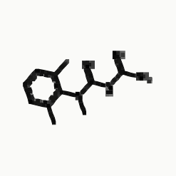 Cc1cccc(C)c1N(C)C(=N)NC(=N)N